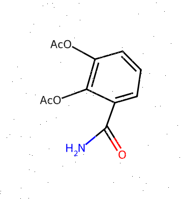 CC(=O)Oc1cccc(C(N)=O)c1OC(C)=O